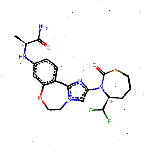 C[C@H](Nc1ccc2c(c1)OCCn1cc(N3C(=O)SCCC[C@H]3C(F)F)nc1-2)C(N)=O